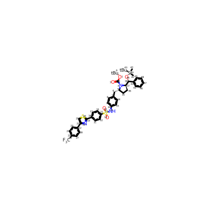 CC(C)(C)OC(=O)N1[C@@H](Cc2ccc(NS(=O)(=O)c3ccc(-c4nc(-c5ccc(C(F)(F)F)cc5)cs4)cc3)cc2)CC[C@@H]1[C@H](O[Si](C)(C)C(C)(C)C)c1ccccc1